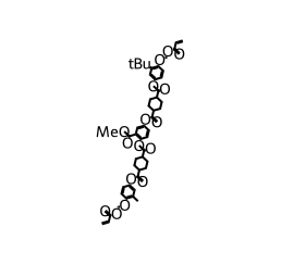 C=CC(=O)OCOc1ccc(OC(=O)C2CCC(C(=O)Oc3ccc(OC(=O)C4CCC(C(=O)Oc5ccc(OCOC(=O)C=C)c(C(C)(C)C)c5)CC4)cc3C(=O)OC)CC2)cc1C